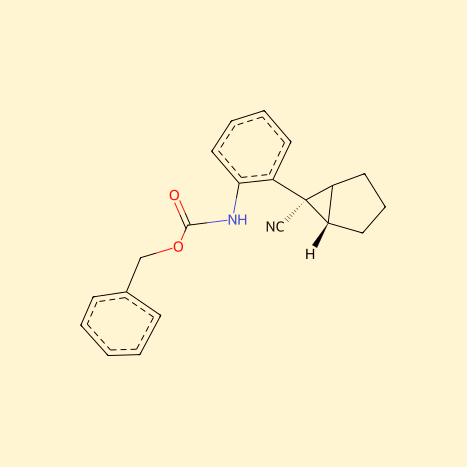 N#C[C@]1(c2ccccc2NC(=O)OCc2ccccc2)C2CCC[C@@H]21